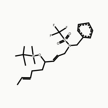 C/C=C/CCC(/C=C/CN(Cc1ccccc1)S(=O)(=O)C(F)(F)F)O[Si](C)(C)C(C)(C)C